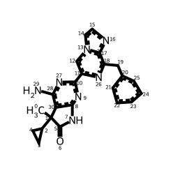 CC1(C2CC2)C(=O)Nc2nc(-c3cn4ccnc4c(Cc4ccccc4)n3)nc(N)c21